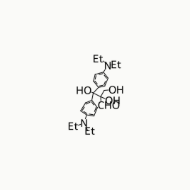 CCN(CC)c1ccc(C(O)(c2ccc(N(CC)CC)cc2)C(O)(C=O)CO)cc1